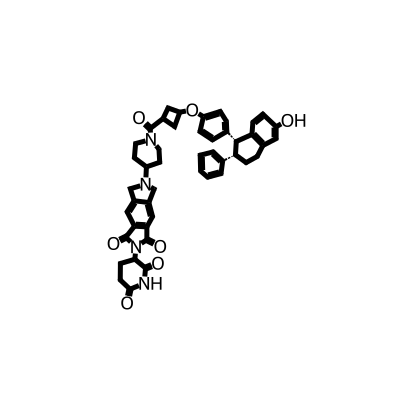 O=C1CCC(N2C(=O)c3cc4c(cc3C2=O)CN(C2CCN(C(=O)C3CC(Oc5ccc([C@@H]6c7ccc(O)cc7CC[C@@H]6c6ccccc6)cc5)C3)CC2)C4)C(=O)N1